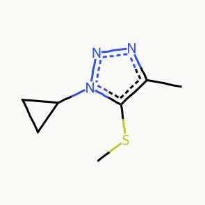 CSc1c(C)nnn1C1CC1